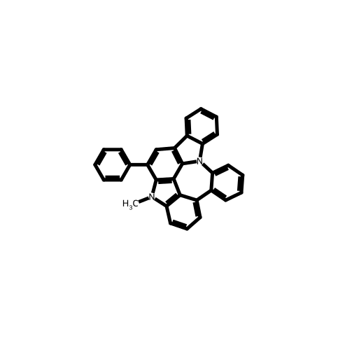 Cn1c2cccc3c4ccccc4n4c5ccccc5c5cc(-c6ccccc6)c1c(c32)c54